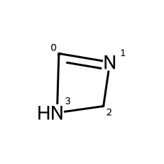 C1=NCN1